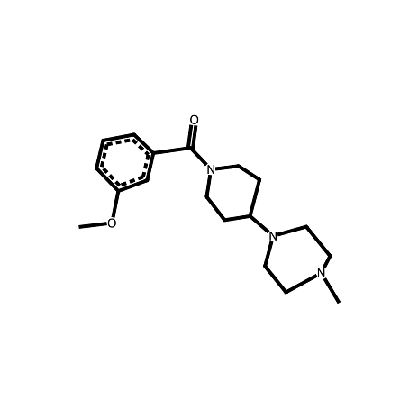 COc1cccc(C(=O)N2CCC(N3CCN(C)CC3)CC2)c1